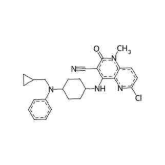 Cn1c(=O)c(C#N)c(NC2CCC(N(CC3CC3)c3ccccc3)CC2)c2nc(Cl)ccc21